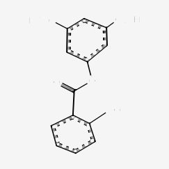 O=C(O)c1cc(OC(=O)c2ccccc2C(=O)O)cc(C(=O)O)c1